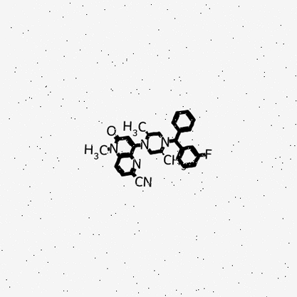 C[C@@H]1CN(c2cc(=O)n(C)c3ccc(C#N)nc23)[C@@H](C)CN1C(c1ccccc1)c1cccc(F)c1